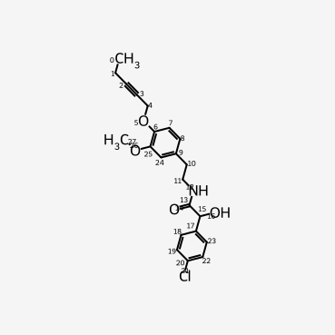 CCC#CCOc1ccc(CCNC(=O)C(O)c2ccc(Cl)cc2)cc1OC